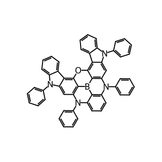 c1ccc(N2c3cccc4c3B3c5c2cc2c(c5Oc5c3c(cc3c5c5ccccc5n3-c3ccccc3)N4c3ccccc3)c3ccccc3n2-c2ccccc2)cc1